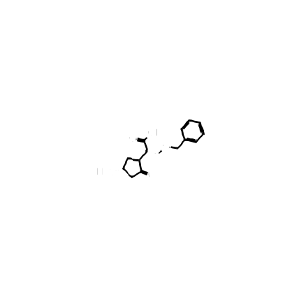 C[C@H]1CC(=O)C([C@@H](COCc2ccccc2)C(=O)O)C1